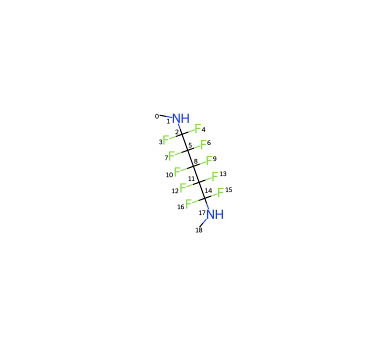 CNC(F)(F)C(F)(F)C(F)(F)C(F)(F)C(F)(F)NC